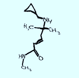 CNC(=O)C=CC(C)(C)NC1CC1